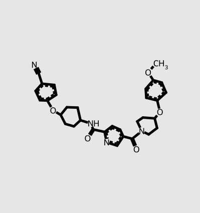 COc1ccc(OC2CCN(C(=O)c3ccc(C(=O)NC4CCC(Oc5ccc(C#N)cc5)CC4)nc3)CC2)cc1